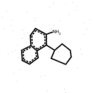 Nc1ccc2ccccc2c1C1CCCCC1